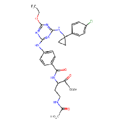 COC(=O)C(CCNC(=O)C(=O)O)NC(=O)c1ccc(Nc2nc(NC3(c4ccc(Cl)cc4)CC3)nc(OCC(F)(F)F)n2)cc1